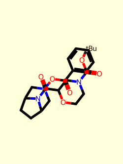 CC(C)(C)OC(=O)N1CCOC(C(=O)N2C3CCC2CN(OC(=O)c2ccccc2)C3)C1